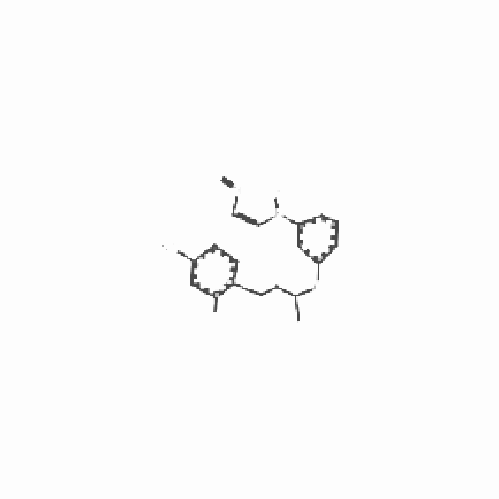 C=N/C=C\N(CC)c1cccc(OC(C)CCc2ccc(C#N)cc2F)c1